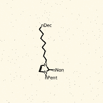 CCCCCCCCCCCCCCCCCCN1C=CN(CCCCC)C1CCCCCCCCC